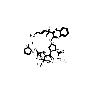 COC(=O)[C@@H]1C[C@@H](Oc2nc3ccccc3nc2C(F)(F)/C=C/CO)CN1C(=O)[C@@H](NC(=O)O[C@@H]1CCC[C@H]1O)C(C)(C)C